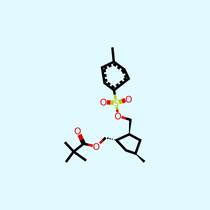 Cc1ccc(S(=O)(=O)OC[C@H]2C[C@@H](C)C[C@@H]2COC(=O)C(C)(C)C)cc1